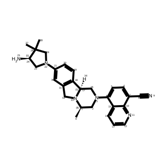 C[C@@H]1CN(c2ccc(C#N)c3ncccc23)C[C@@H]2c3ccc(N4C[C@@H](N)C(C)(C)C4)cc3CN12